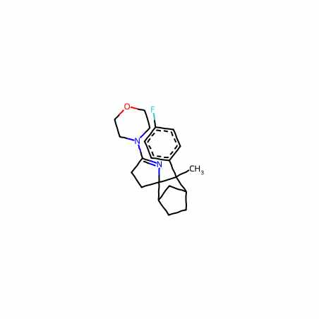 CC1(c2ccc(F)cc2)C2CCC(C2)C12CCC(N1CCOCC1)=N2